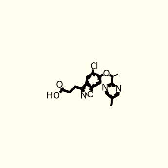 Cc1cnc([C@H](C)Oc2cc3onc(CCC(=O)O)c3cc2Cl)nc1